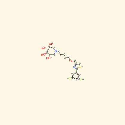 O[C@H]1[C@H](O)[C@@H](O)CN(CCCCCOCc2csc(-c3cc(F)cc(F)c3)n2)C[C@@H]1O